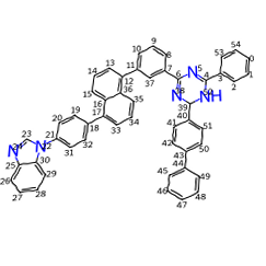 c1ccc(C2=NC(c3cccc(-c4cccc5c(-c6ccc(-n7cnc8ccccc87)cc6)cccc45)c3)=NC(c3ccc(-c4ccccc4)cc3)N2)cc1